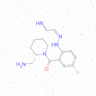 N=C/C=N\Nc1ccc(F)cc1C(=O)N1CCCC[C@H]1CN